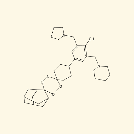 Oc1c(CN2CCCCC2)cc(C2CCC3(CC2)OOC2(OO3)C3CC4CC(C3)CC2C4)cc1CN1CCCC1